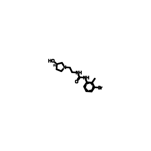 Cc1c(Br)cccc1NC(=O)NCCN1CC[C@@H](O)C1